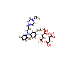 CCSc1ccc2c(c1)N(CCCN1CCN(C)CC1)c1ccccc1S2.O=C(O)C=CC(=O)O.O=C(O)C=CC(=O)O